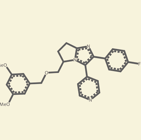 COc1cc(COCC2CCc3nc(-c4ccc(F)cc4)c(-c4ccncc4)n32)cc(OC)c1